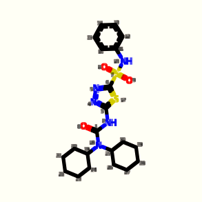 O=C(Nc1nnc(S(=O)(=O)Nc2ccccc2)s1)N(C1CCCCC1)C1CCCCC1